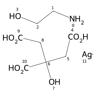 NCCO.O=C(O)CC(O)(CC(=O)O)C(=O)O.[Ag]